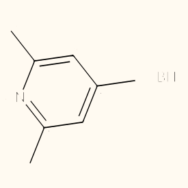 B.Cc1cc(C)nc(C)c1